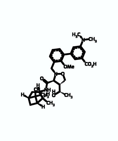 COc1c(CN2OC[C@H]([C@H](C)O)[C@H]2C(=O)N[C@H]2C[C@H]3C[C@@H]([C@@H]2C)C3(C)C)cccc1-c1cc(C(=O)O)cc(N(C)C)c1